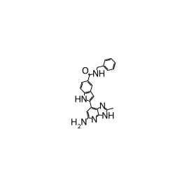 Cc1nc2c(-c3cc4cc(C(=O)NCc5ccccc5)ccc4[nH]3)cc(N)nc2[nH]1